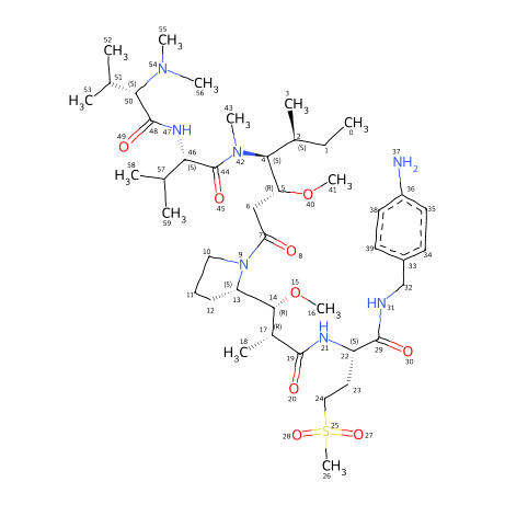 CC[C@H](C)[C@@H]([C@@H](CC(=O)N1CCC[C@H]1[C@H](OC)[C@@H](C)C(=O)N[C@@H](CCS(C)(=O)=O)C(=O)NCc1ccc(N)cc1)OC)N(C)C(=O)[C@@H](NC(=O)[C@H](C(C)C)N(C)C)C(C)C